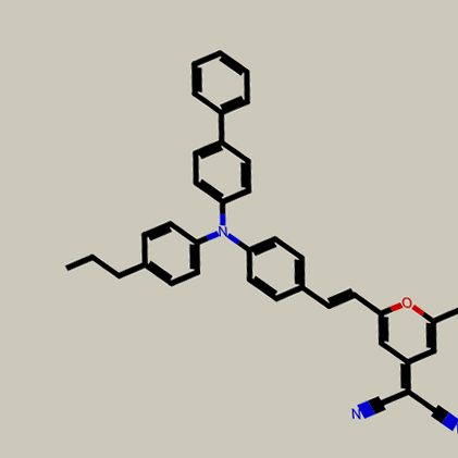 CCCc1ccc(N(c2ccc(/C=C/C3=CC(=C(C#N)C#N)C=C(C)O3)cc2)c2ccc(-c3ccccc3)cc2)cc1